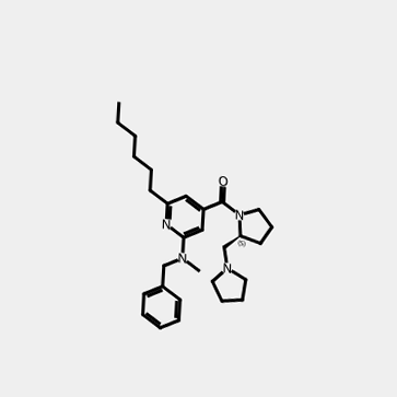 CCCCCCc1cc(C(=O)N2CCC[C@H]2CN2CCCC2)cc(N(C)Cc2ccccc2)n1